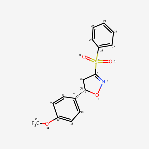 O=S(=O)(C1=NO[C@H](c2ccc(OC(F)(F)F)cc2)C1)c1ccccc1